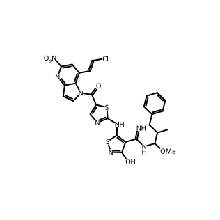 COC(NC(=N)c1c(O)nsc1Nc1ncc(C(=O)n2ccc3nc([N+](=O)[O-])cc(/C=C/Cl)c32)s1)C(C)Cc1ccccc1